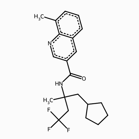 Cc1cccc2cc(C(=O)NC(C)(CC3CCCC3)CC(F)(F)F)cnc12